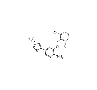 Cc1csc(-c2cnc(N)c(OCc3c(Cl)cccc3Cl)c2)c1